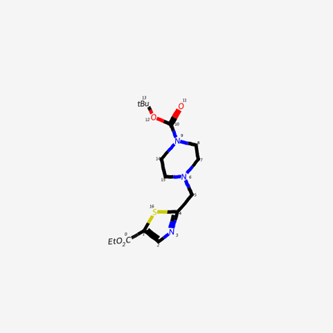 CCOC(=O)c1cnc(CN2CCN(C(=O)OC(C)(C)C)CC2)s1